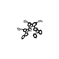 CC(C)(C)c1cc(-c2ccc3c(c2)c2ccccc2n3-c2ccccc2)c2c(c1)c1cc(C(C)(C)C)cc3c4c5c6cc(C(C)(C)C)cc7c8c9ccccc9ccc8n(c5ncc4n2c13)c76